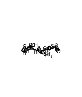 COc1cc2c(cc1OCCCC(=O)Nc1cc(C(=O)Nc3ccc4sc(C(=O)N5CCOCC5)cc4c3)n(C)c1)N=C[C@@H]1CCCN1C2=O